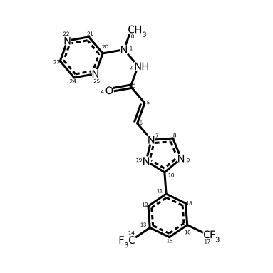 CN(NC(=O)C=Cn1cnc(-c2cc(C(F)(F)F)cc(C(F)(F)F)c2)n1)c1cnccn1